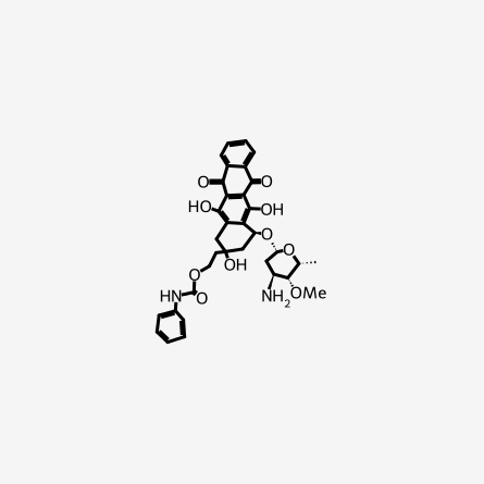 CO[C@@H]1[C@@H](N)C[C@H](O[C@H]2CC(O)(CCOC(=O)Nc3ccccc3)Cc3c(O)c4c(c(O)c32)C(=O)c2ccccc2C4=O)O[C@@H]1C